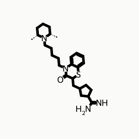 C[C@@H]1CCC[C@H](C)N1CCCCCN1C(=O)C(CC2CCC(C(=N)N)C2)Sc2ccccc21